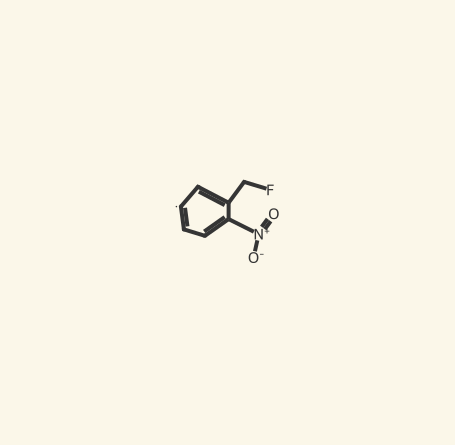 O=[N+]([O-])c1cc[c]cc1CF